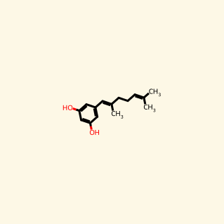 CC(C)=CCC/C(C)=C/c1cc(O)cc(O)c1